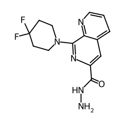 NNC(=O)c1cc2cccnc2c(N2CCC(F)(F)CC2)n1